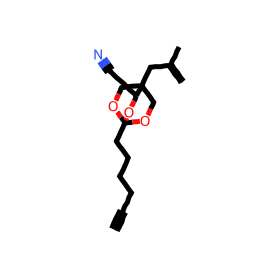 C#CCCCCC12OCC(CC(=C)C)(CO1)C(C#N)O2